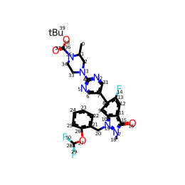 CC1CN(c2ncc(-c3cc4c(cc3F)c(=O)n(C)n4Cc3ccccc3OC(F)F)cn2)CCN1C(=O)OC(C)(C)C